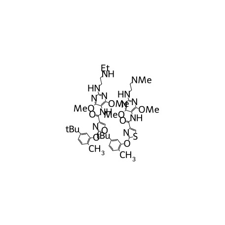 CCNCCNc1nc(OC)c(NC(=O)c2coc(Oc3cc(C(C)(C)C)ccc3C)n2)c(OC)n1.CNCCNc1nc(OC)c(NC(=O)c2csc(Oc3cc(C(C)(C)C)ccc3C)n2)c(OC)n1